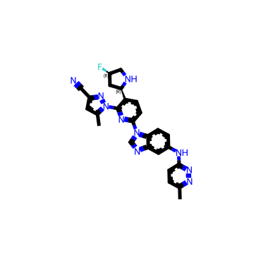 Cc1ccc(Nc2ccc3c(c2)ncn3-c2ccc([C@H]3C[C@@H](F)CN3)c(-n3nc(C#N)cc3C)n2)nn1